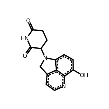 O=C1CCC(N2Cc3ccnc4c(O)ccc2c34)C(=O)N1